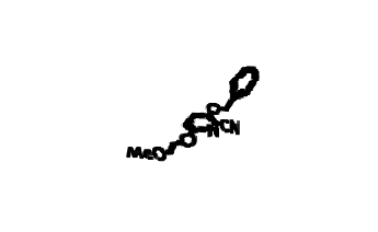 COCCOc1ccc(OCc2ccccc2)c(C#N)n1